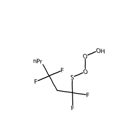 CCCC(F)(F)CC(F)(F)SOOO